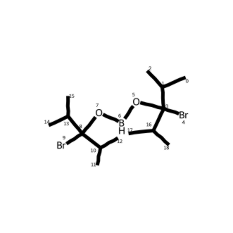 CC(C)C(Br)(OBOC(Br)(C(C)C)C(C)C)C(C)C